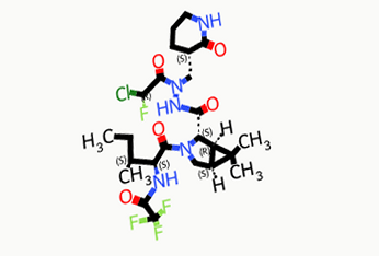 CC[C@H](C)[C@H](NC(=O)C(F)(F)F)C(=O)N1C[C@H]2[C@@H]([C@H]1C(=O)NN(C[C@@H]1CCCNC1=O)C(=O)[C@H](F)Cl)C2(C)C